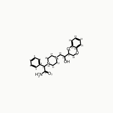 NC(=O)C(c1ccccc1)N1CCN(CC(O)C2COc3ccccc3O2)CC1